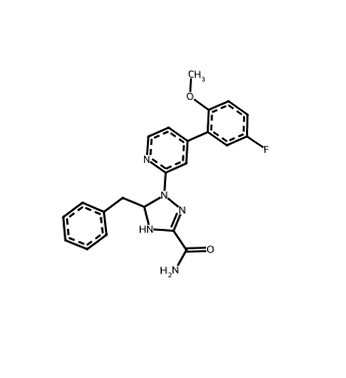 COc1ccc(F)cc1-c1ccnc(N2N=C(C(N)=O)NC2Cc2ccccc2)c1